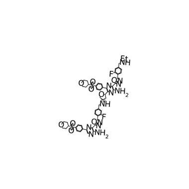 CCNCc1ccc(-c2nnc(-c3nc(-c4ccc(S(=O)(=O)C5CCOCC5)cc4)c(C4C[C@H](NCc5ccc(-c6nnc(-c7nc(-c8ccc(S(=O)(=O)C9CCOCC9)cc8)cnc7N)o6)c(F)c5)CO4)nc3N)o2)c(F)c1